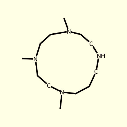 CN1CCCNCCN(C)CCN(C)CC1